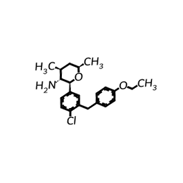 CCOc1ccc(Cc2cc([C@@H]3O[C@H](C)C[C@H](C)[C@H]3N)ccc2Cl)cc1